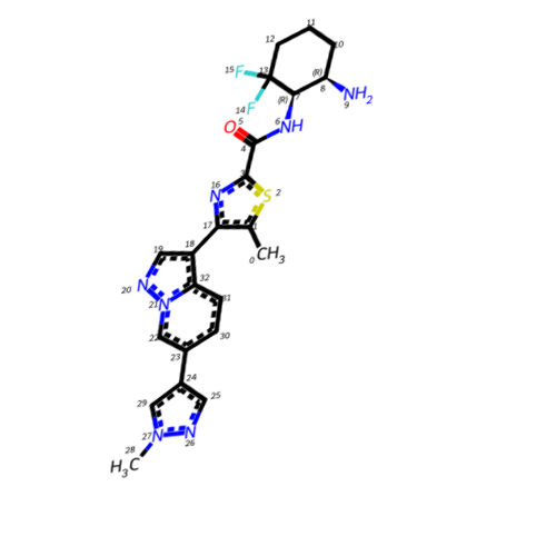 Cc1sc(C(=O)N[C@@H]2[C@H](N)CCCC2(F)F)nc1-c1cnn2cc(-c3cnn(C)c3)ccc12